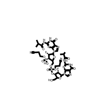 CC(C)C(=O)Nc1nc2c(ncn2C2OC(CO)[C@@H](OP(=O)(OCCC#N)OCC3OC(n4cnc5c(=O)[nH]c(NC(=O)C(C)C)nc54)[C@H](F)[C@@H]3P(=O)(O)OCCC#N)[C@H]2F)c(=O)[nH]1